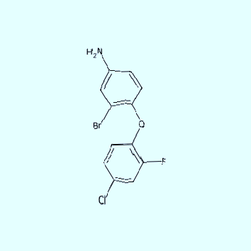 Nc1ccc(Oc2ccc(Cl)cc2F)c(Br)c1